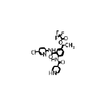 CC(OC(=O)C(F)(F)F)c1ccc(NC(=O)C2CCNCC2)c(C(=O)Nc2ccc(Cl)cn2)c1